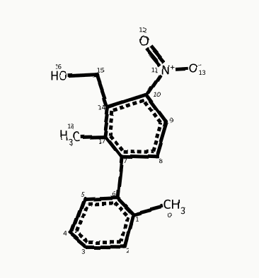 Cc1ccccc1-c1ccc([N+](=O)[O-])c(CO)c1C